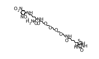 NC(=O)C(CCCCNc1cc([N+](=O)[O-])ccc1[N+](=O)[O-])NC(=O)CCOCCOCCOCCOCCNC(=O)CCCCC1SC[C@H]2NC(=O)N[C@@H]12